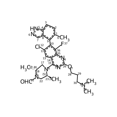 Cc1ccc2[nH]ncc2c1-c1c(Cl)cc2c(N3C[C@@H](C)N(C=O)C[C@@H]3C)nc(OCCCN(C)C)nc2c1F